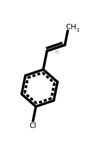 C/C=C/c1ccc(Cl)cc1